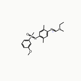 CCN(C)/C=N/c1cc(C)c(N=S(C)(=O)c2cccc(OC)c2)cc1C